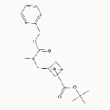 CN(CC12CC(C1)N(C(=O)OC(C)(C)C)C2)C(=O)OCc1ccccc1